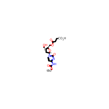 CC(C)(C)OC(=O)Nc1ccn([C@H]2C[C@H](CO)[C@@H](COC(=O)CCC(=O)O)O2)c(=O)n1